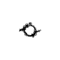 C/C=C/CC(C)(C)[C@@H]1C\C=C/C=C\C=C\[C@H](OC)Cc2nc(co2)C(=O)O[C@H](C(C)(C)C/C=C/C)C/C=C\O[C@@H](C)/C=C/C=C\c2nc(co2)C(=O)O1